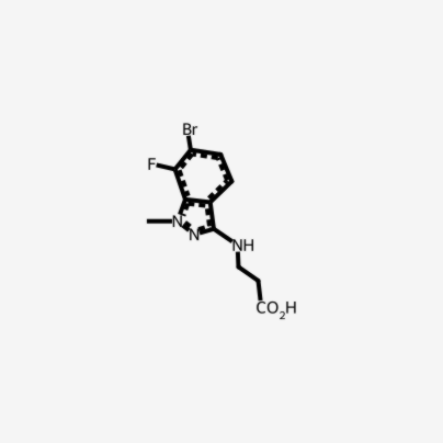 Cn1nc(NCCC(=O)O)c2ccc(Br)c(F)c21